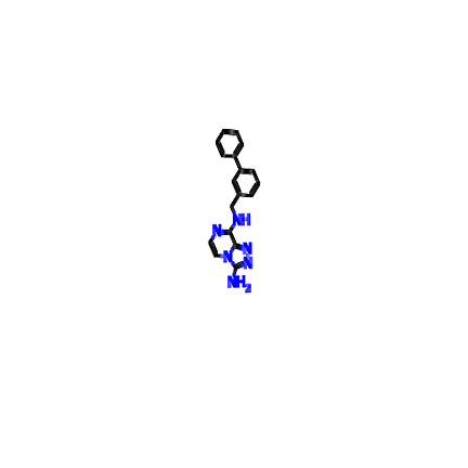 Nc1nnc2c(NCc3cccc(-c4ccccc4)c3)nccn12